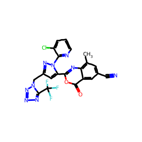 Cc1cc(C#N)cc2c(=O)oc(-c3cc(Cn4nnnc4C(F)(F)F)nn3-c3ncccc3Cl)nc12